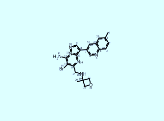 Cc1ccc2ncc(-c3cnn4c(N)c(Br)c(CNC5(C)COC5)nc34)cc2c1